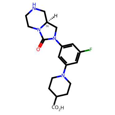 O=C(O)C1CCN(c2cc(F)cc(N3C[C@@H]4CNCCN4C3=O)c2)CC1